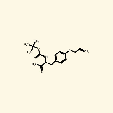 C=CCOc1ccc(C[C@H](NC(=O)OC(C)(C)C)C(C)=O)cc1